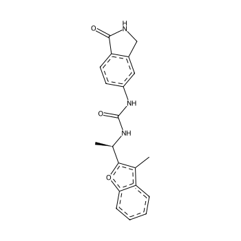 Cc1c([C@@H](C)NC(=O)Nc2ccc3c(c2)CNC3=O)oc2ccccc12